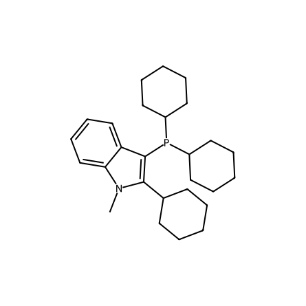 Cn1c(C2CCCCC2)c(P(C2CCCCC2)C2CCCCC2)c2ccccc21